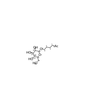 CC(=O)CCCCOC1OC(CO)[C@H](O)C(O)C1O